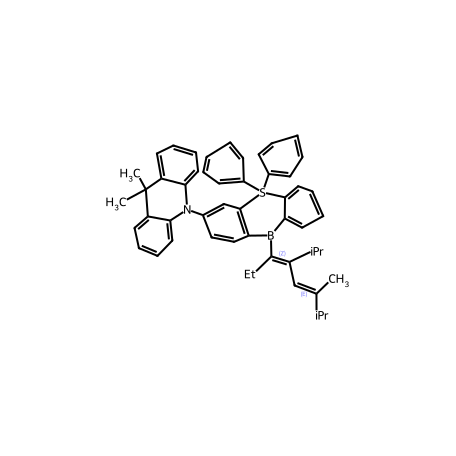 CC/C(B1c2ccccc2S(c2ccccc2)(c2ccccc2)c2cc(N3c4ccccc4C(C)(C)c4ccccc43)ccc21)=C(\C=C(/C)C(C)C)C(C)C